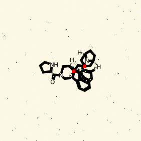 Cc1nc2ccccc2n1C1C[C@H]2CC[C@@H](C1)N2CCC1(c2cccc(F)c2)CCN(C(=O)[C@@H]2CCCN2)CC1